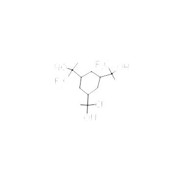 CC(O)(C1CC(C(C)(O)C(F)(F)F)CC(C(C)(O)C(F)(F)F)C1)C(F)(F)F